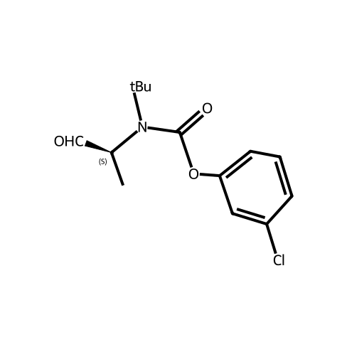 C[C@@H](C=O)N(C(=O)Oc1cccc(Cl)c1)C(C)(C)C